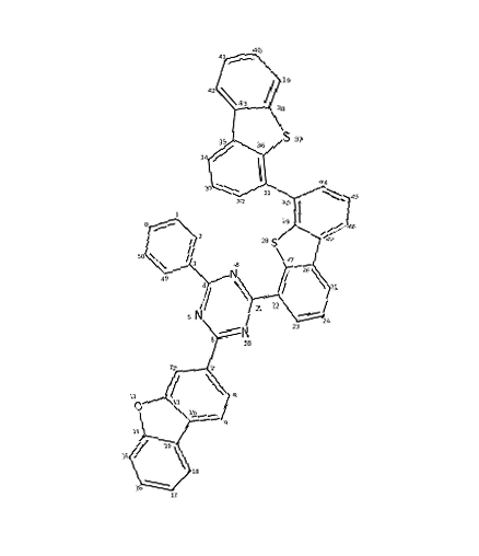 c1ccc(-c2nc(-c3ccc4c(c3)oc3ccccc34)nc(-c3cccc4c3sc3c(-c5cccc6c5sc5ccccc56)cccc34)n2)cc1